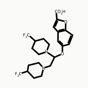 O=C(O)c1cc2cc(OC(CN3CCC(C(F)(F)F)CC3)N3CCC(C(F)(F)F)CC3)ccc2o1